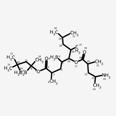 BC(CC(C)C(=O)OC(B)(C)CC(C)(C)C)C(OC(=O)C(C)CC(C)N)C(C)CC(C)C